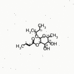 CC=CC(=O)OC1C(OC(C)CC)OC(C)C(O)C1O